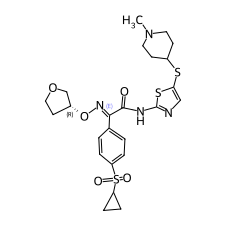 CN1CCC(Sc2cnc(NC(=O)/C(=N/O[C@@H]3CCOC3)c3ccc(S(=O)(=O)C4CC4)cc3)s2)CC1